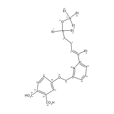 CCC(=CCCC(CC)(CC)O[Si](CC)(CC)CC)c1cccc(COc2ccc(C(=O)O)c(C(=O)O)c2)n1